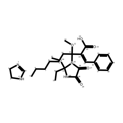 C1=NCCN1.CCCCCCC(OC)(C(=Cc1ccccc1)C(=O)O)N1C(=O)C(=O)NC1(CC)OC